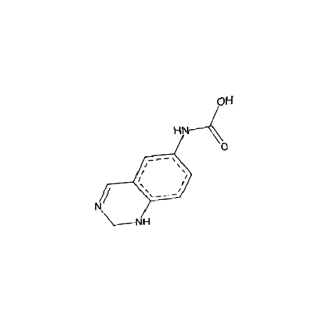 O=C(O)Nc1ccc2c(c1)C=NCN2